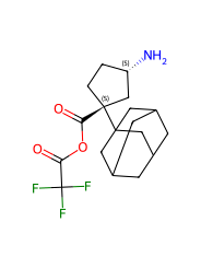 N[C@H]1CC[C@@](C(=O)OC(=O)C(F)(F)F)(C23CC4CC(CC(C4)C2)C3)C1